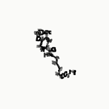 CCCCCCCCCCOc1ccc(C(=O)NCCCCC(=O)O)nc1